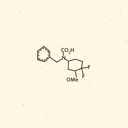 COC1CC(N(Cc2ccccc2)C(=O)O)CCC1(F)F